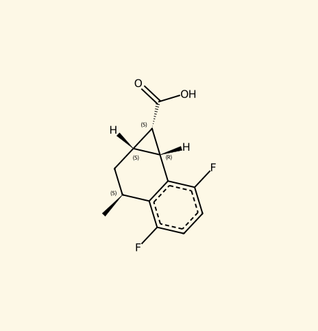 C[C@H]1C[C@@H]2[C@H](C(=O)O)[C@@H]2c2c(F)ccc(F)c21